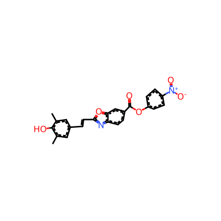 Cc1cc(/C=C/c2nc3ccc(C(=O)Oc4ccc([N+](=O)[O-])cc4)cc3o2)cc(C)c1O